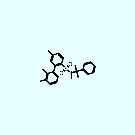 Cc1ccc(S(=O)(=O)NC(C)(C)c2ccccc2)c(-c2cccc(C)c2C)c1